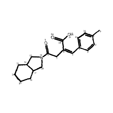 Cc1ccc(/C=C(/CC(=O)N2CC3CCCCC3C2)C(=O)O)cc1